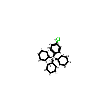 Clc1cc[c]([Sn]([CH]2CCCCC2)([CH]2CCCCC2)[CH]2CCCCC2)cc1